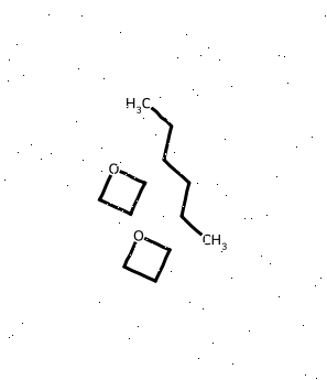 C1COC1.C1COC1.CCCCCC